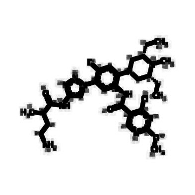 CC[C@@H]1CN(c2cc(F)c(-n3cc(NC(=O)C(C)CCN)nn3)cc2NC(=O)c2cnc(OC)nc2Cl)C[C@H](CC)N1C